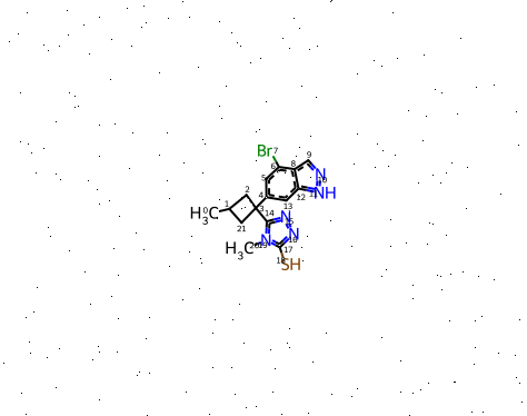 CC1CC(c2cc(Br)c3cn[nH]c3c2)(c2nnc(S)n2C)C1